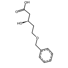 O=C(O)C[C@H](O)CCOCc1ccccc1